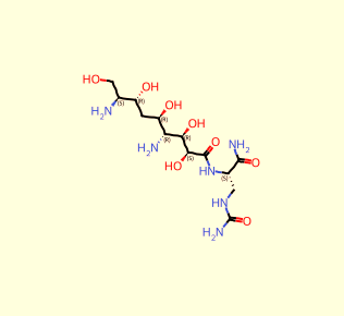 NC(=O)NC[C@H](NC(=O)[C@@H](O)[C@H](O)[C@H](N)[C@H](O)C[C@@H](O)[C@@H](N)CO)C(N)=O